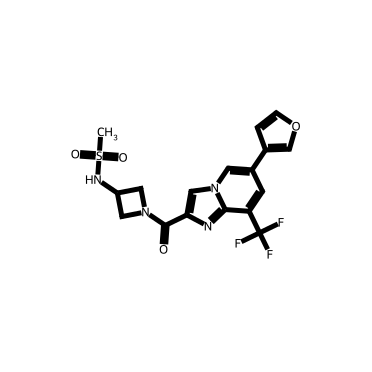 CS(=O)(=O)NC1CN(C(=O)c2cn3cc(-c4ccoc4)cc(C(F)(F)F)c3n2)C1